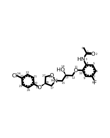 CC(=O)Nc1ccc(F)cc1OC[C@H](O)CN1C[C@@H](Oc2ccc(Cl)cc2)CO1